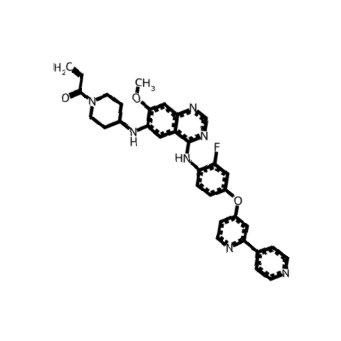 C=CC(=O)N1CCC(Nc2cc3c(Nc4ccc(Oc5ccnc(-c6ccncc6)c5)cc4F)ncnc3cc2OC)CC1